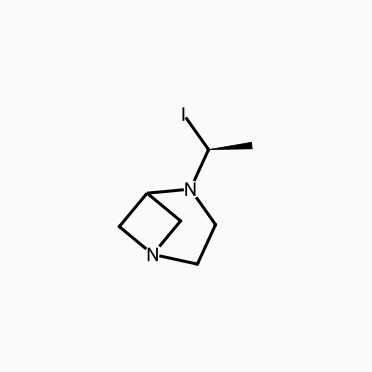 C[C@H](I)N1CCN2CC1C2